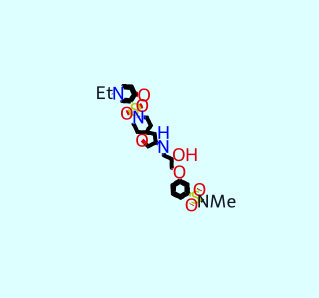 CCn1ccc(=O)c(S(=O)(=O)N2CCC3(CC2)CC(NC[C@H](O)COc2cccc(S(=O)(=O)NC)c2)CO3)c1